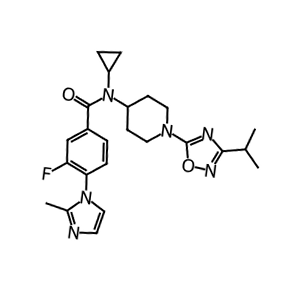 Cc1nccn1-c1ccc(C(=O)N(C2CC2)C2CCN(c3nc(C(C)C)no3)CC2)cc1F